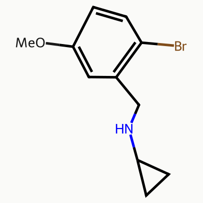 COc1ccc(Br)c(CNC2CC2)c1